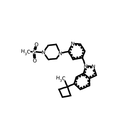 CC1(c2ccc3cnn(-c4ccnc(N5CCN(S(C)(=O)=O)CC5)c4)c3c2)CCC1